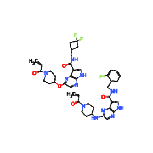 C=CC(=O)N1CCC(Nc2cnc3[nH]cc(C(=O)NCc4ccccc4F)c3n2)CC1.C=CC(=O)N1CCC(Oc2cnc3[nH]cc(C(=O)NCC4CC(F)(F)C4)c3n2)CC1